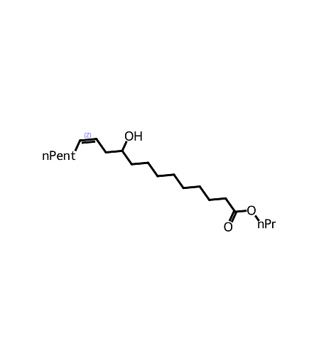 CCCCC/C=C\CC(O)CCCCCCCCC(=O)OCCC